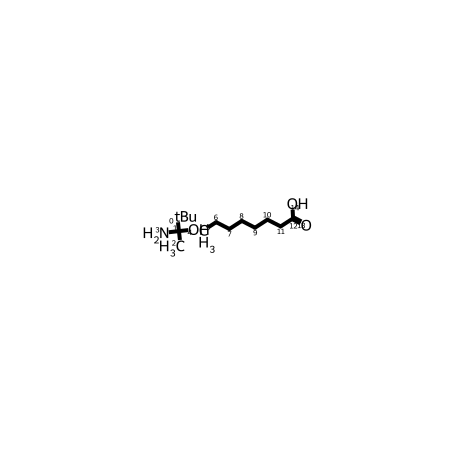 CC(C)(C)C(C)(N)O.CCCCCCCC(=O)O